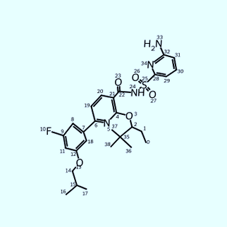 CCC(Oc1nc(-c2cc(F)cc(OCC(C)C)c2)ccc1C(=O)NS(=O)(=O)c1cccc(N)n1)C(C)(C)C